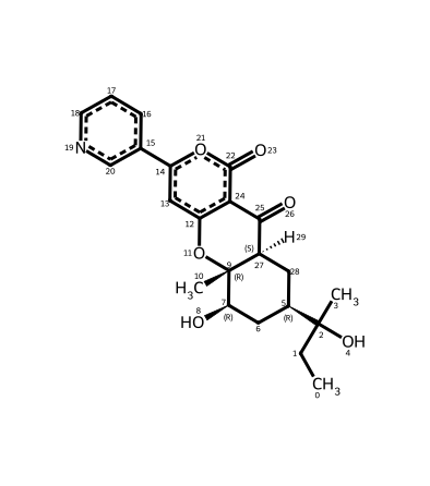 CCC(C)(O)[C@H]1C[C@@H](O)[C@]2(C)Oc3cc(-c4cccnc4)oc(=O)c3C(=O)[C@H]2C1